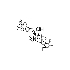 CCOC(=O)C(Oc1ccc2c(c1)CN(C(=O)C1SCCN1C(=O)C[C@H](N)Cc1cc(F)c(F)cc1F)CC2)C(C)C.Cl